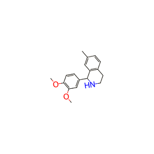 COc1ccc(C2NCCc3ccc(C)cc32)cc1OC